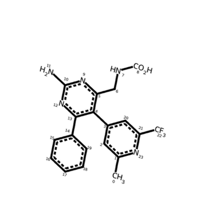 Cc1cc(-c2c(CNC(=O)O)nc(N)nc2-c2ccccc2)cc(C(F)(F)F)n1